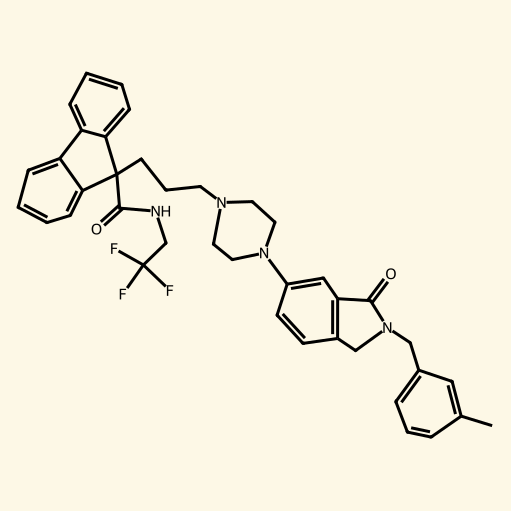 Cc1cccc(CN2Cc3ccc(N4CCN(CCCC5(C(=O)NCC(F)(F)F)c6ccccc6-c6ccccc65)CC4)cc3C2=O)c1